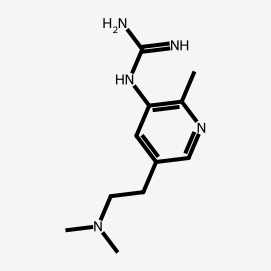 Cc1ncc(CCN(C)C)cc1NC(=N)N